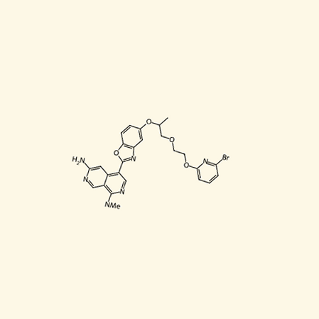 CNc1ncc(-c2nc3cc(OC(C)COCCOc4cccc(Br)n4)ccc3o2)c2cc(N)ncc12